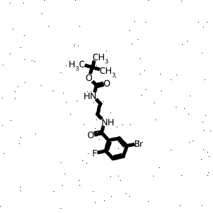 CC(C)(C)OC(=O)NCCNC(=O)c1cc(Br)ccc1F